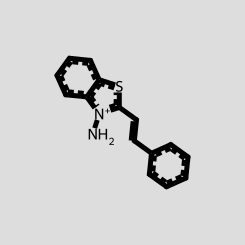 N[n+]1c(C=Cc2ccccc2)sc2ccccc21